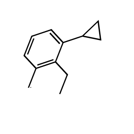 [CH2]c1cccc(C2CC2)c1CC